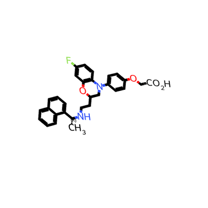 C[C@@H](NCCC1CN(c2ccc(OCC(=O)O)cc2)c2ccc(F)cc2O1)c1cccc2ccccc12